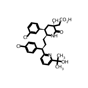 CC(C)(O)c1cccc([C@H](CC[C@@H]2NC(=O)[C@](C)(CC(=O)O)C[C@@H]2c2cccc(Cl)c2)c2ccc(Cl)cc2)n1